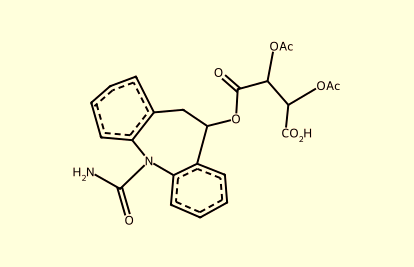 CC(=O)OC(C(=O)O)C(OC(C)=O)C(=O)OC1Cc2ccccc2N(C(N)=O)c2ccccc21